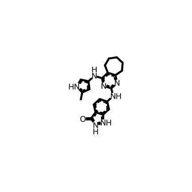 Cc1cc(Nc2nc(Nc3ccc4c(=O)[nH][nH]c4c3)nc3c2CCCCC3)c[nH]1